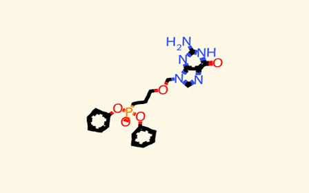 Nc1nc2c(ncn2COCCCP(=O)(Oc2ccccc2)Oc2ccccc2)c(=O)[nH]1